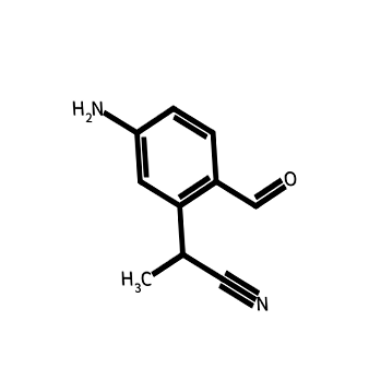 CC(C#N)c1cc(N)ccc1C=O